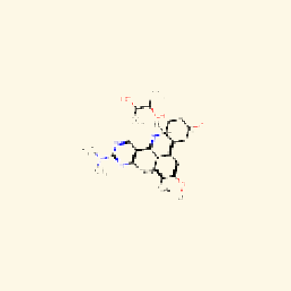 CCOC1=CC2=C3C[C@H](O)CC[C@H]3N=C(c3cnc(N(C)C)nc3OC)C2C=C1OC.O=C(O)C(O)C(O)C(=O)O